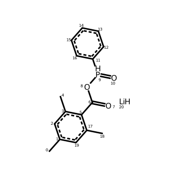 Cc1cc(C)c(C(=O)O[PH](=O)c2ccccc2)c(C)c1.[LiH]